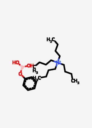 CCCC[N+](CCCC)(CCCC)CCCC.OB(O)Oc1ccccc1